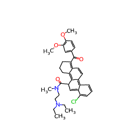 CCN(CC)CCN(C)C(=O)C1C=c2c(Cl)cccc2=c2ccc3c(c21)CCCC=3C(=O)c1ccc(OC)c(OC)c1